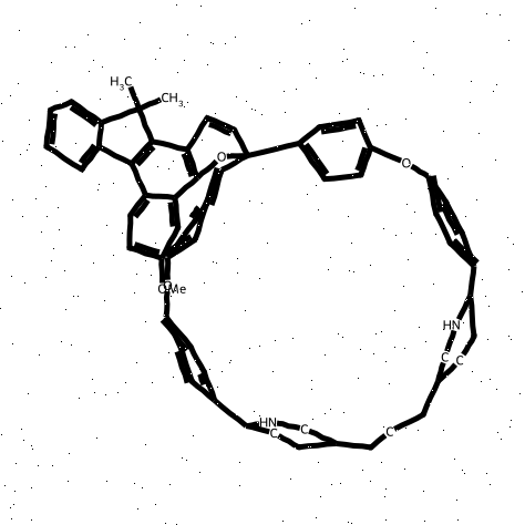 COc1ccc2c3c(c4c(c2c1)OC1(C=C4)c2ccc(cc2)Oc2ccc(cc2)C2CCC(CCCC4CCC(NC4)c4ccc(cc4)Oc4ccc1cc4)CN2)C(C)(C)c1ccccc1-3